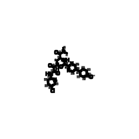 CN(C)C(=O)C(CNC(=O)C(=O)Nc1ccc(Cl)cn1)NC(=O)c1ncc(-c2cc[n+]([O-])cc2)cn1